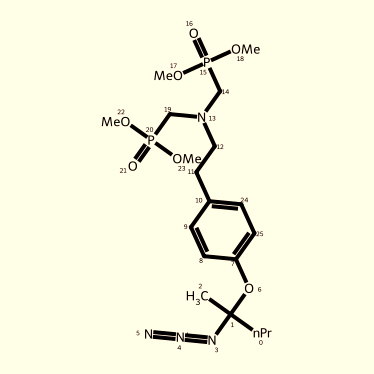 CCCC(C)(N=[N+]=[N-])Oc1ccc(CCN(CP(=O)(OC)OC)CP(=O)(OC)OC)cc1